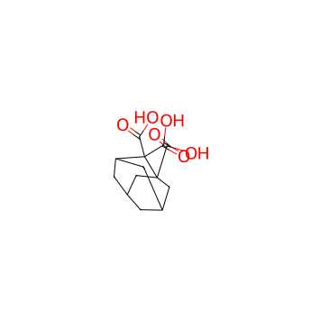 O=C(O)C12CC3CC(CC(C3)C1(C(=O)O)C(=O)O)C2